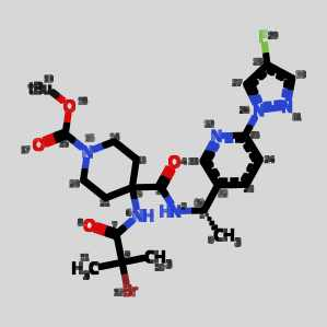 C[C@H](NC(=O)C1(NC(=O)C(C)(C)Br)CCN(C(=O)OC(C)(C)C)CC1)c1ccc(-n2cc(F)cn2)nc1